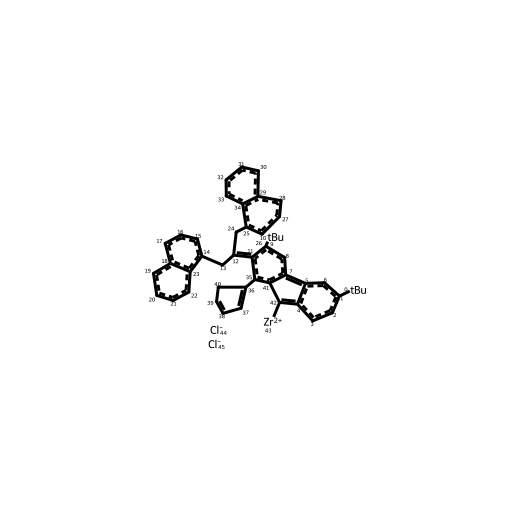 CC(C)(C)c1ccc2c(c1)=c1cc(C(C)(C)C)c(=C(Cc3cccc4ccccc34)Cc3cccc4ccccc34)c(C3=CC=CC3)c1[C]=2[Zr+2].[Cl-].[Cl-]